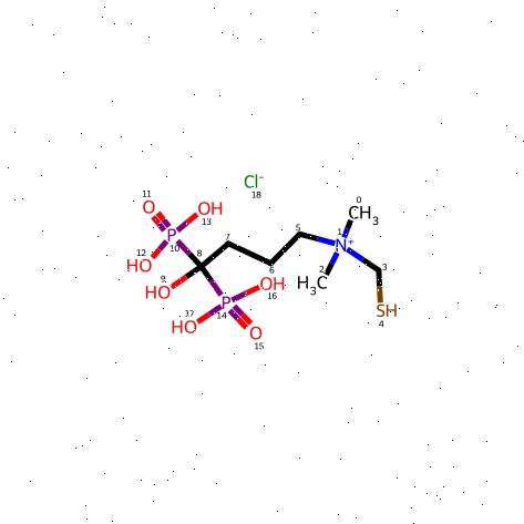 C[N+](C)(CS)CCCC(O)(P(=O)(O)O)P(=O)(O)O.[Cl-]